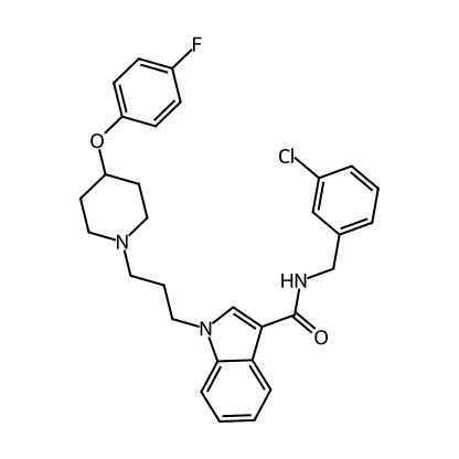 O=C(NCc1cccc(Cl)c1)c1cn(CCCN2CCC(Oc3ccc(F)cc3)CC2)c2ccccc12